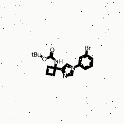 CC(C)(C)OC(=O)NC1(c2cn(-c3cccc(Br)c3)cn2)CCC1